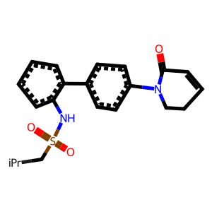 CC(C)CS(=O)(=O)Nc1ccccc1-c1ccc(N2CCC=CC2=O)cc1